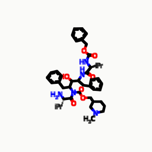 CC(C)[C@H](N)C(=O)N(C(=O)OCC1CCCN(C)C1)C(Cc1ccccc1)C(O)C(Cc1ccccc1)NC(=O)[C@@H](NC(=O)OCc1ccccc1)C(C)C